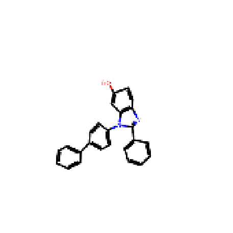 Oc1ccc2nc(-c3ccccc3)n(-c3ccc(-c4ccccc4)cc3)c2c1